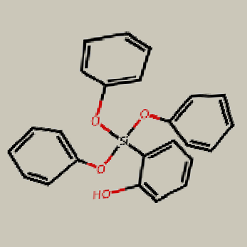 Oc1ccccc1[Si](Oc1ccccc1)(Oc1ccccc1)Oc1ccccc1